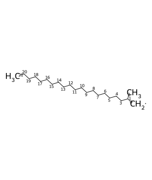 [CH2]C(C)CCCCCCCCCCCCCCCCCCC